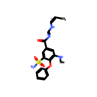 C/C=C\N/C=N/C(=O)c1cc(NCCCC)c(Oc2ccccc2)c(S(N)(=O)=O)c1